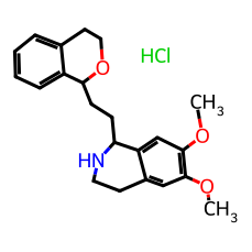 COc1cc2c(cc1OC)C(CCC1OCCc3ccccc31)NCC2.Cl